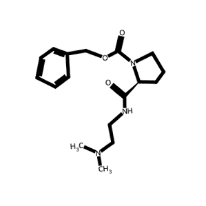 CN(C)CCNC(=O)[C@@H]1CCCN1C(=O)OCc1ccccc1